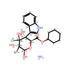 N.O=C(OC1CCCCC1)[C@H]1O[C@@H](O)[C@@](O)(Br)[C@](O)(Cl)[C@@]1(O)c1c[nH]c2ccccc12